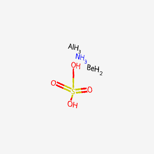 N.O=S(=O)(O)O.[AlH3].[BeH2]